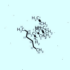 C=C.C=C.C=C.C=C.C=C.CCCCCC